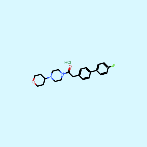 Cl.O=C(Cc1ccc(-c2ccc(F)cc2)cc1)N1CCN(C2CCOCC2)CC1